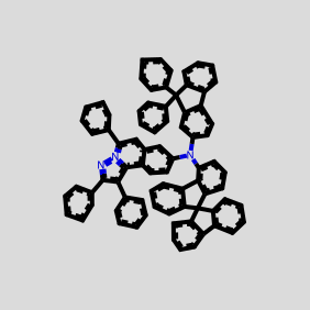 c1ccc(-c2nn3c(-c4ccccc4)cc4cc(N(c5ccc6c(c5)C(c5ccccc5)(c5ccccc5)c5ccccc5-6)c5cccc6c5-c5ccccc5C65c6ccccc6-c6ccccc65)ccc4c3c2-c2ccccc2)cc1